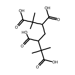 CC(C)(C(=O)O)C(CC(C(=O)O)C(C)(C)C(=O)O)C(=O)O